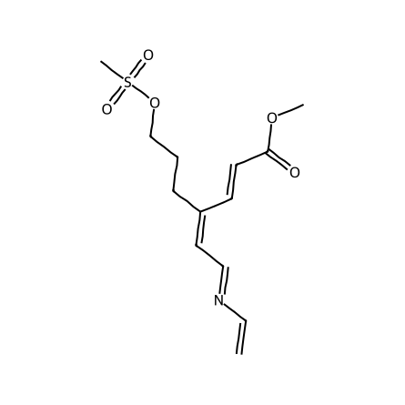 C=C/N=C/C=C(\C=C\C(=O)OC)CCCOS(C)(=O)=O